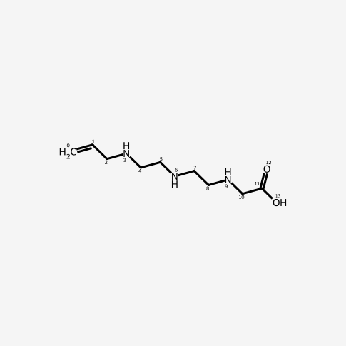 C=CCNCCNCCNCC(=O)O